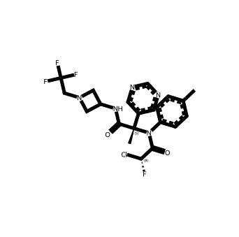 Cc1ccc(N(C(=O)[C@H](F)Cl)[C@](C)(C(=O)NC2CN(CC(F)(F)F)C2)c2cncnc2)cc1